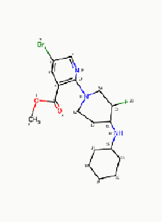 COC(=O)c1cc(Br)cnc1N1CCC(NC2CCCCC2)C(F)C1